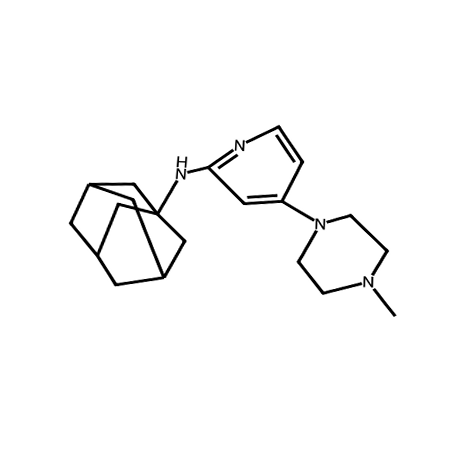 CN1CCN(c2ccnc(NC34CC5CC(CC(C5)C3)C4)c2)CC1